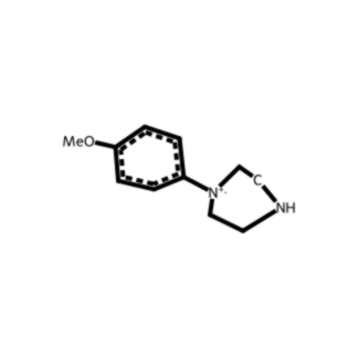 COc1ccc([N+]2CCNCC2)cc1